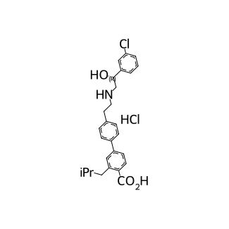 CC(C)Cc1cc(-c2ccc(CCNC[C@H](O)c3cccc(Cl)c3)cc2)ccc1C(=O)O.Cl